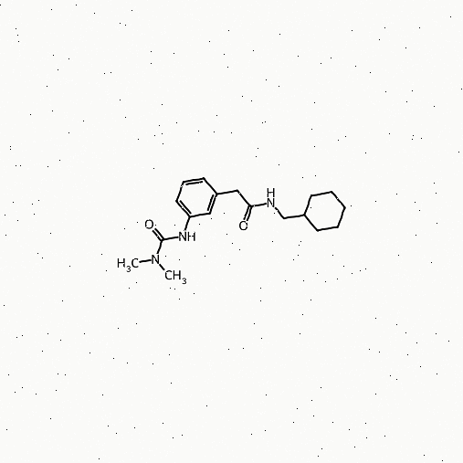 CN(C)C(=O)Nc1cccc(CC(=O)NCC2CCCCC2)c1